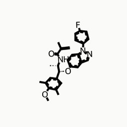 C=C(C)C(=O)N[C@@H](C)[C@H](Oc1ccc2c(cnn2-c2ccc(F)cc2)c1)c1cc(C)c(OC)c(C)c1